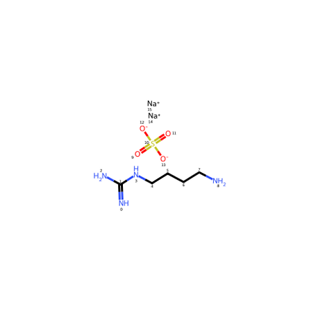 N=C(N)NCCCCN.O=S(=O)([O-])[O-].[Na+].[Na+]